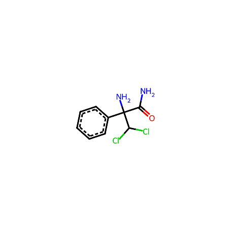 NC(=O)C(N)(c1ccccc1)C(Cl)Cl